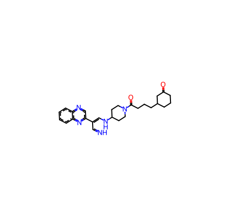 N=C/C(=C\NC1CCN(C(=O)CCCC2CCCC(=O)C2)CC1)c1cnc2ccccc2n1